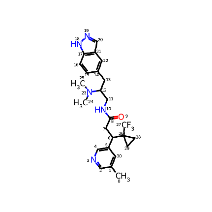 Cc1cncc(C(CC(=O)NCC(Cc2ccc3[nH]ncc3c2)N(C)C)C2(C(F)(F)F)CC2)c1